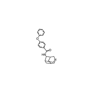 O=C(NC1C2CC3CC1CN(C3)C2)c1ccc(Oc2ccccc2)cc1